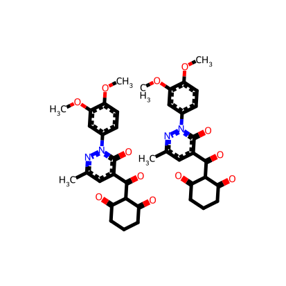 COc1ccc(-n2nc(C)cc(C(=O)C3C(=O)CCCC3=O)c2=O)cc1OC.COc1ccc(-n2nc(C)cc(C(=O)C3C(=O)CCCC3=O)c2=O)cc1OC